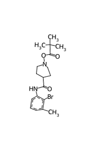 Cc1cccc(NC(=O)C2CCN(OC(=O)C(C)(C)C)CC2)c1Br